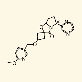 COc1ccc(COC2CC3(C2)OC2CC[C@@H](c4cnccn4)N2C3=O)cn1